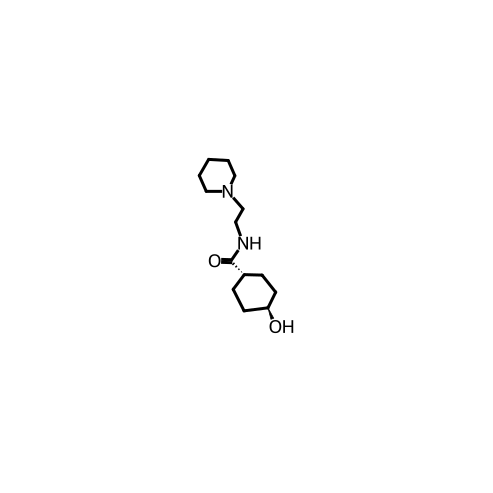 O=C(NCCN1CCCCC1)[C@H]1CC[C@H](O)CC1